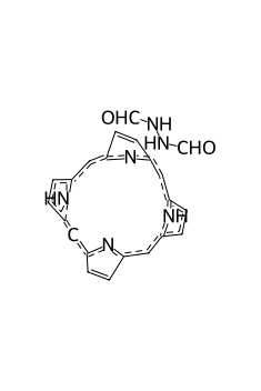 C1=Cc2cc3ccc(cc4nc(cc5ccc(cc1n2)[nH]5)C=C4)[nH]3.O=CNNC=O